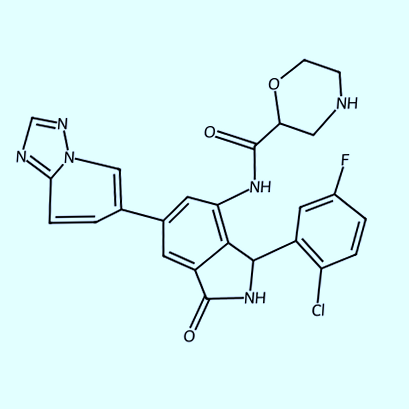 O=C1NC(c2cc(F)ccc2Cl)c2c(NC(=O)C3CNCCO3)cc(-c3ccc4ncnn4c3)cc21